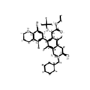 CCOC(=O)[C@@H](OC(C)(C)C)c1c(C)c2c(c(C)c1-c1cc(F)c3c(c1C)CCCO3)CN(CC1CCCCC1)C(=O)C2